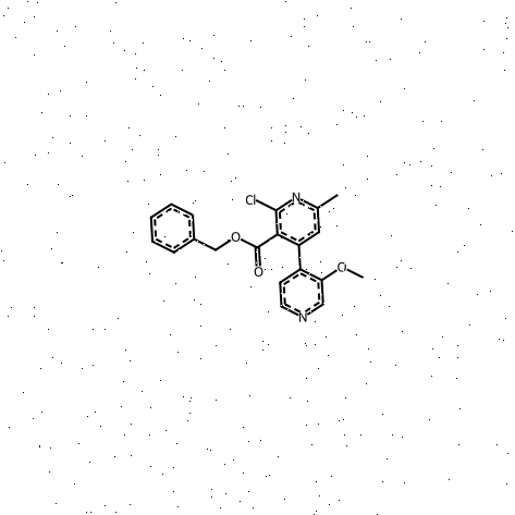 COc1cnccc1-c1cc(C)nc(Cl)c1C(=O)OCc1ccccc1